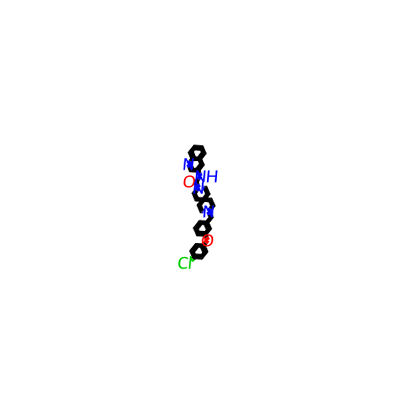 O=C(Nc1cnc2ccccc2c1)N1CCC2(CCN(Cc3cccc(Oc4ccc(Cl)cc4)c3)CC2)CC1